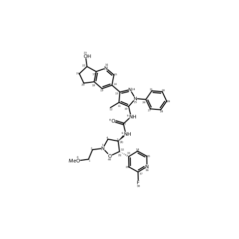 COCCN1C[C@@H](NC(=O)Nc2c(C)c(-c3cnc4c(c3)CCC4O)nn2-c2ccccc2)[C@H](c2ccnc(F)c2)O1